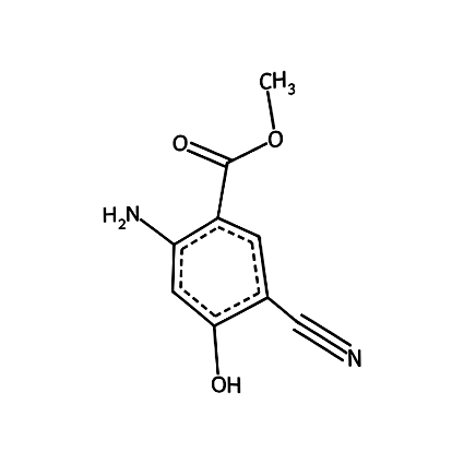 COC(=O)c1cc(C#N)c(O)cc1N